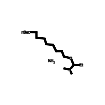 CCCCCCCCCCCCCCCCCCOC(CC)N(C)C.N